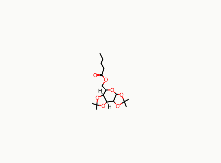 CCCCC(=O)OC[C@H]1OC2OC(C)(C)OC2[C@H]2OC(C)(C)O[C@H]21